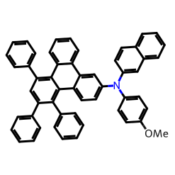 COc1ccc(N(c2ccc3ccccc3c2)c2ccc3c(c2)c2ccccc2c2c(-c4ccccc4)cc(-c4ccccc4)c(-c4ccccc4)c32)cc1